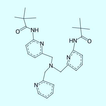 CC(C)(C)C(=O)Nc1cccc(CN(Cc2ccccn2)Cc2cccc(NC(=O)C(C)(C)C)n2)n1